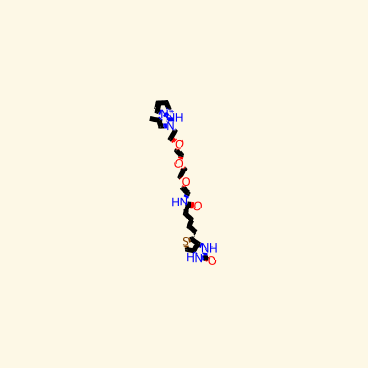 CC1CN(CCOCCOCCOCCNC(=O)CCCC[C@H]2SCC3NC(=O)NC32)N[N+]12CCCC2